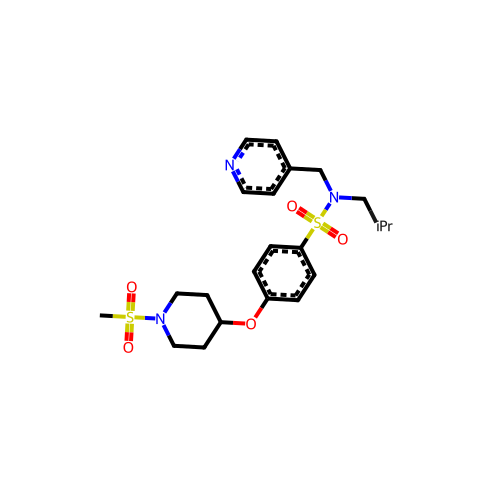 CC(C)CN(Cc1ccncc1)S(=O)(=O)c1ccc(OC2CCN(S(C)(=O)=O)CC2)cc1